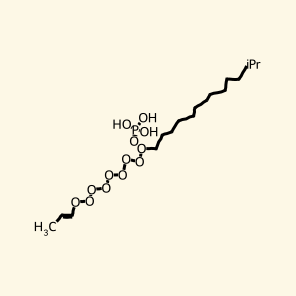 CC=COOOOOOOOOCCCCCCCCCCCC(C)C.O=P(O)(O)O